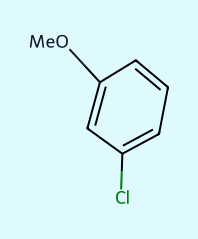 [CH2]Oc1cccc(Cl)c1